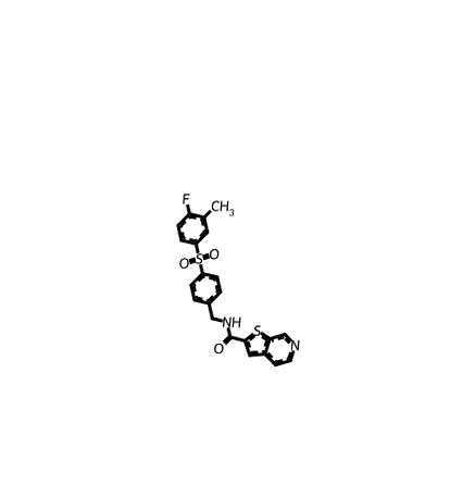 Cc1cc(S(=O)(=O)c2ccc(CNC(=O)c3cc4ccncc4s3)cc2)ccc1F